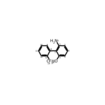 Nc1cccc(O)c1-c1ccccc1C(F)(F)F